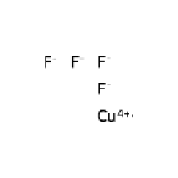 [Cu+4].[F-].[F-].[F-].[F-]